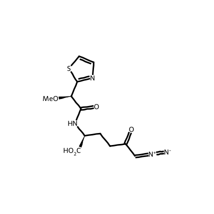 CO[C@H](C(=O)N[C@@H](CCC(=O)C=[N+]=[N-])C(=O)O)c1nccs1